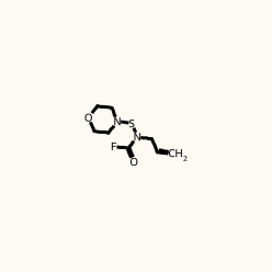 C=CCN(SN1CCOCC1)C(=O)F